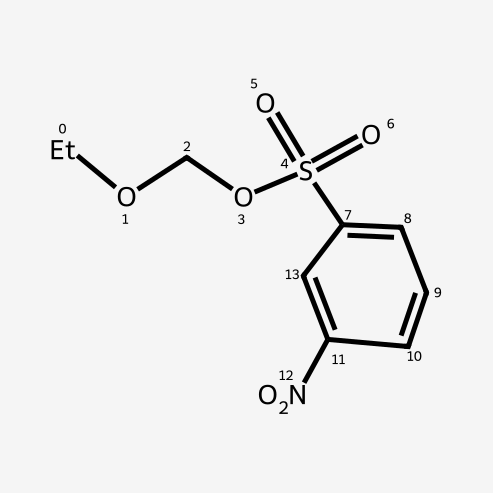 CCOCOS(=O)(=O)c1cccc([N+](=O)[O-])c1